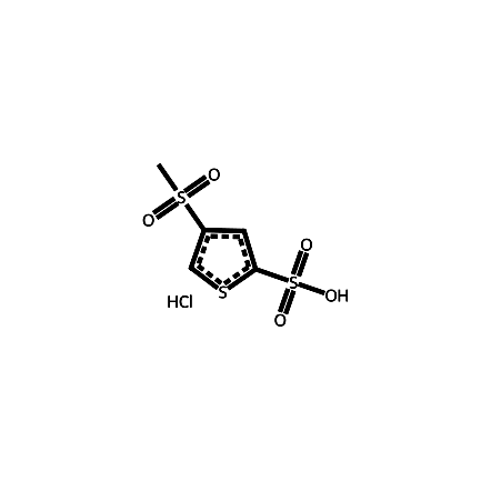 CS(=O)(=O)c1csc(S(=O)(=O)O)c1.Cl